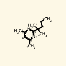 CCCC(C)(C)c1nc(C)cc(C)n1